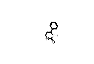 O=C1[N]CC=C(c2ccccc2)N1